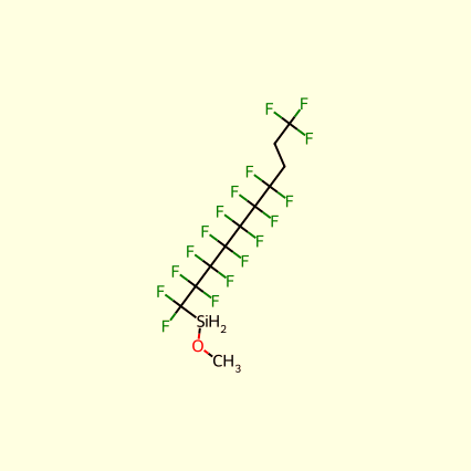 CO[SiH2]C(F)(F)C(F)(F)C(F)(F)C(F)(F)C(F)(F)C(F)(F)C(F)(F)CCC(F)(F)F